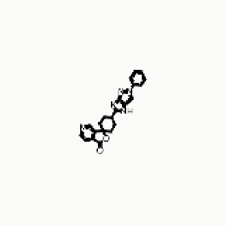 O=C1OC2(CCC(c3nc4nn(-c5ccccc5)cc4[nH]3)CC2)c2cnccc21